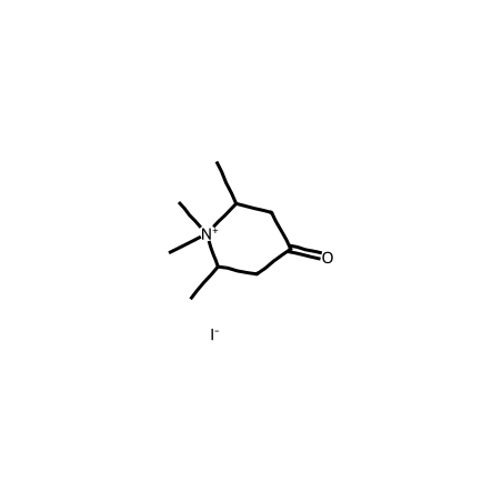 CC1CC(=O)CC(C)[N+]1(C)C.[I-]